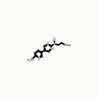 CCCCCCCCCCCC[S+]([O-])c1ncc(-c2ccc(N)nc2)cn1